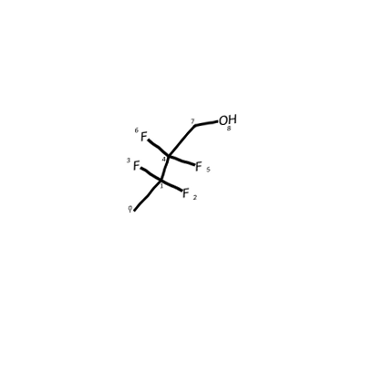 [CH2]C(F)(F)C(F)(F)CO